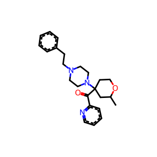 CC1CC(C(=O)c2ccccn2)(N2CCN(CCc3ccccc3)CC2)CCO1